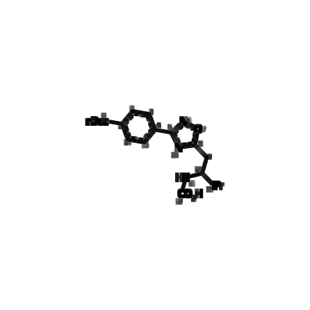 CCCCCCCCCCc1ccc(-c2noc(CC(NC(=O)O)C(C)C)n2)cc1